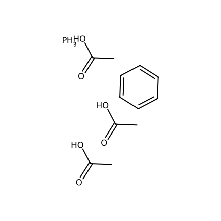 CC(=O)O.CC(=O)O.CC(=O)O.P.c1ccccc1